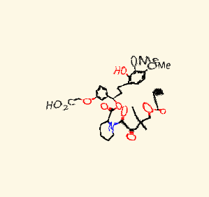 C=CC(=O)OCC(C)(C)C(=O)C(=O)N1CCCCC1C(=O)O[C@H](CCc1ccc(OC)c(OC)c1O)c1cccc(OCC(=O)O)c1